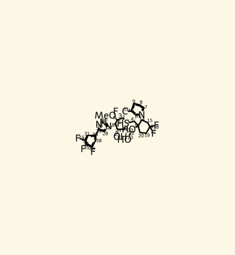 CO[C@H]1C[SH]([C@H](c2ncccc2C(F)(F)F)C2(O)CCC(F)(F)CC2)[C@H](CO)[C@H](O)[C@@H]1n1cc(-c2cc(F)c(F)c(F)c2)nn1